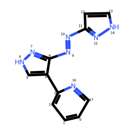 c1ccc(-c2c[nH]nc2N=Nc2cc[nH]n2)nc1